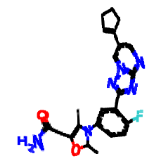 CC1=C(C(N)=O)OC(C)N1c1ccc(F)c(-c2nc3ncc(C4=CCCC4)cn3n2)c1